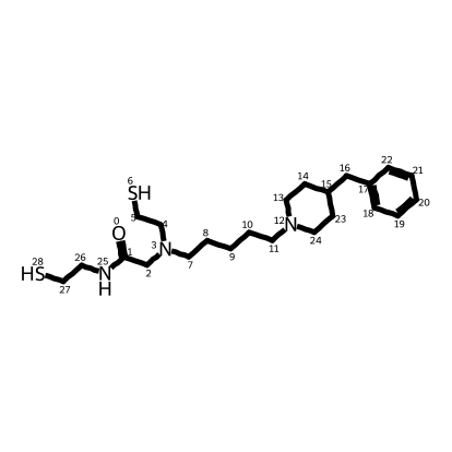 O=C(CN(CCS)CCCCCN1CCC(Cc2ccccc2)CC1)NCCS